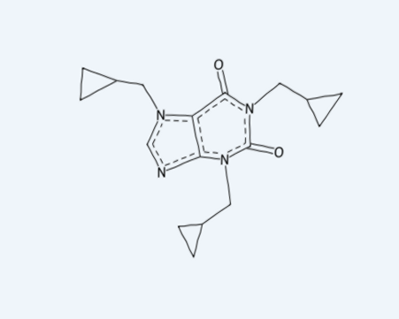 O=c1c2c(ncn2CC2CC2)n(CC2CC2)c(=O)n1CC1CC1